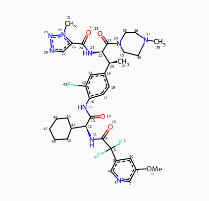 COc1cncc(C(F)(F)C(=O)N[C@H](C(=O)Nc2ccc([C@H](C)[C@@H](NC(=O)c3cnnn3C)C(=O)N3CCN(C)CC3)cc2F)C2CCCCC2)c1